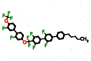 CCCCCc1ccc(-c2cc(F)c(-c3cc(F)c(C(F)(F)Oc4ccc(-c5ccc(OC(F)(F)F)c(F)c5)c(F)c4)c(F)c3)c(F)c2)cc1